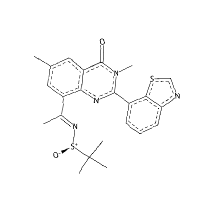 CC(=N[S@+]([O-])C(C)(C)C)c1cc(C)cc2c(=O)n(C)c(-c3cccc4ncsc34)nc12